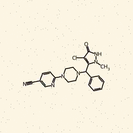 Cn1[nH]c(=O)c(Cl)c1C(c1ccccc1)N1CCN(c2ccc(C#N)cn2)CC1